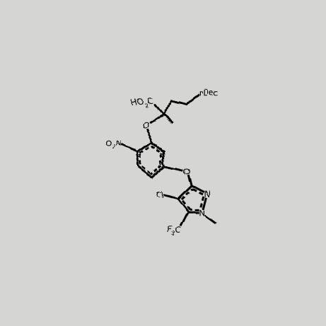 CCCCCCCCCCCCC(C)(Oc1cc(Oc2nn(C)c(C(F)(F)F)c2Cl)ccc1[N+](=O)[O-])C(=O)O